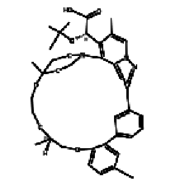 Cc1ccc2c(c1)-c1cccc(c1)-c1cc3c(c([C@H](OC(C)(C)C)C(=O)O)c(C)cn3n1)N1CCC(C)(CC1)OCCC[C@@H](C)CO2